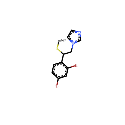 CCCCCCSC(Cn1ccnc1)c1ccc(Br)cc1Br